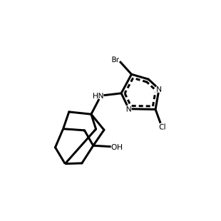 OC12CC3CC(C1)CC(Nc1nc(Cl)ncc1Br)(C3)C2